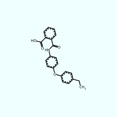 CCc1ccc(Oc2ccc(NC(=O)c3ccccc3C(=O)O)cc2)cc1